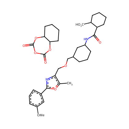 COc1cccc(-c2nc(COCC3CCCC(NC(=O)C4CCCCC4C(=O)O)C3)c(C)o2)c1.O=C1OC(=O)OC2CCCCC2O1